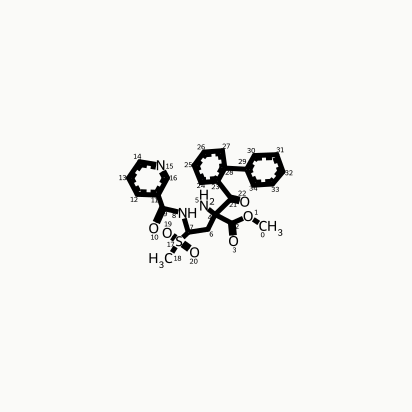 COC(=O)C(N)(CC(NC(=O)c1cccnc1)S(C)(=O)=O)C(=O)c1ccccc1-c1ccccc1